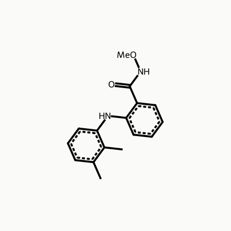 CONC(=O)c1ccccc1Nc1cccc(C)c1C